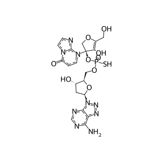 Nc1ncnc2c1nnn2[C@H]1C[C@H](O)[C@@H](COP(=O)(S)O[C@@]2(n3ccc(=O)n4ccnc34)COC(CO)=C2O)O1